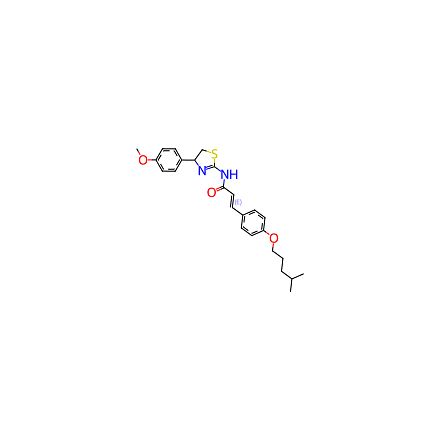 COc1ccc(C2CSC(NC(=O)/C=C/c3ccc(OCCCC(C)C)cc3)=N2)cc1